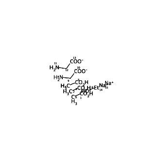 CC(=O)O.CC(=O)O.CC(=O)O.CCO.NCC(=O)[O-].NCC(=O)[O-].[Na+].[Na+]